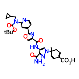 CC(C)(C)OC(=O)N(CC1CC1)c1cc(-c2nc(C(=O)Nc3cn(C4(C)C=CC(C(=O)O)=CC4)nc3C(N)=O)co2)ccn1